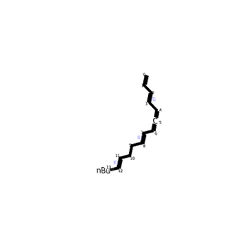 C=C/C=C/C=C=C/C=C/CC/C=C/CCCC